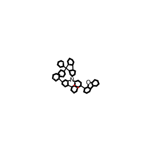 c1ccc(-c2ccc(-c3ccccc3)c(N(c3ccc(-c4cccc5c4oc4ccccc45)cc3)c3ccc4c(c3)C(c3ccccc3)(c3ccccc3)c3ccccc3-4)c2)cc1